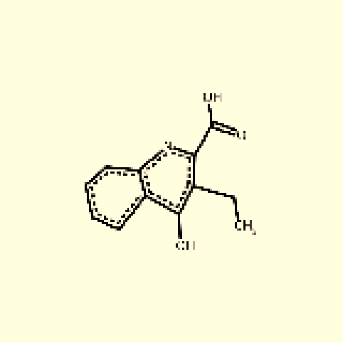 CCc1c(C(=O)O)nc2ccccc2c1O